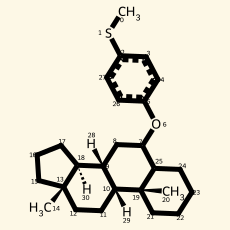 CSc1ccc(OC2C[C@@H]3[C@@H](CC[C@]4(C)CCC[C@@H]34)[C@@]3(C)CCCCC23)cc1